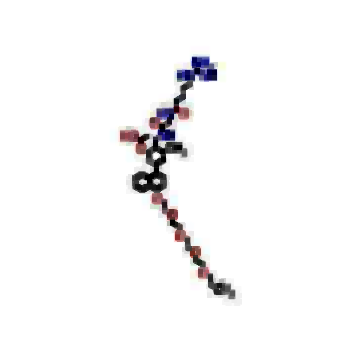 CCCOCCOCCOCCOCCOc1ccc(C2=CC(C)C([C@H](CC(=O)O)NC(=O)CNC(=O)CCCCNC(=N)N)C=C2)c2ccccc12